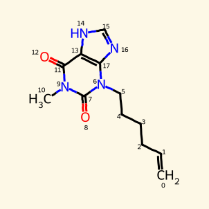 C=CCCCCn1c(=O)n(C)c(=O)c2[nH]cnc21